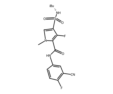 CC[C@@H](C)NS(=O)(=O)c1cn(C)c(C(=O)Nc2ccc(F)c(C#N)c2)c1F